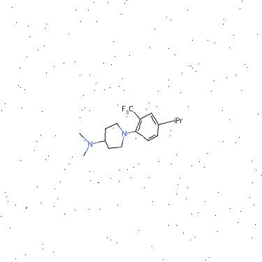 CC(C)c1ccc(N2CCC(N(C)C)CC2)c(C(F)(F)F)c1